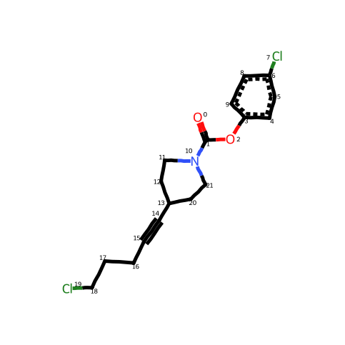 O=C(Oc1ccc(Cl)cc1)N1CCC(C#CCCCCl)CC1